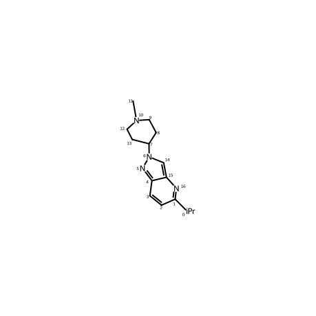 CC(C)c1ccc2nn(C3CCN(C)CC3)cc2n1